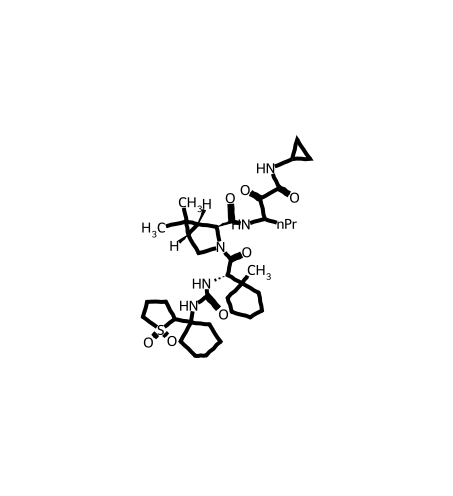 CCCC(NC(=O)[C@@H]1[C@@H]2[C@H](CN1C(=O)[C@@H](NC(=O)NC1(C3CCCS3(=O)=O)CCCCC1)C1(C)CCCCC1)C2(C)C)C(=O)C(=O)NC1CC1